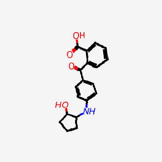 O=C(O)c1ccccc1C(=O)c1ccc(NC2CCCC2O)cc1